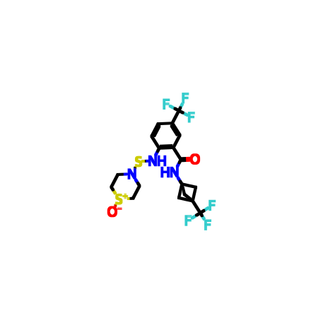 O=C(NC12CC(C(F)(F)F)(C1)C2)c1cc(C(F)(F)F)ccc1NSN1CC[S+]([O-])CC1